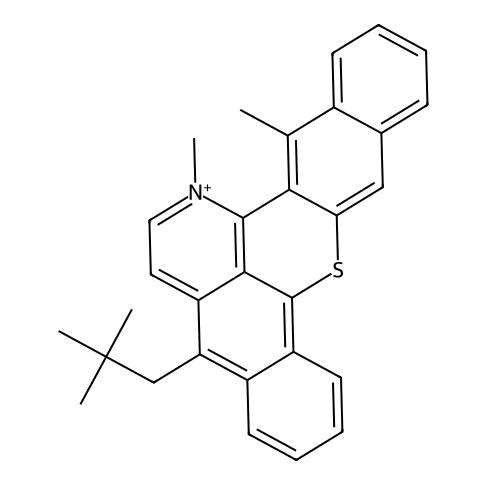 Cc1c2c(cc3ccccc13)Sc1c3ccccc3c(CC(C)(C)C)c3cc[n+](C)c-2c13